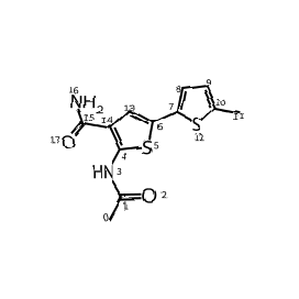 CC(=O)Nc1sc(-c2ccc(C)s2)cc1C(N)=O